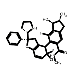 CNC(=O)c1cc2c(c(F)c1C1C3=C(C=CC1(F)Cl)O[C@@](c1ccccc1)([C@@H]1CCCN1)C3)[C@@H](O)[C@@H](C)C2